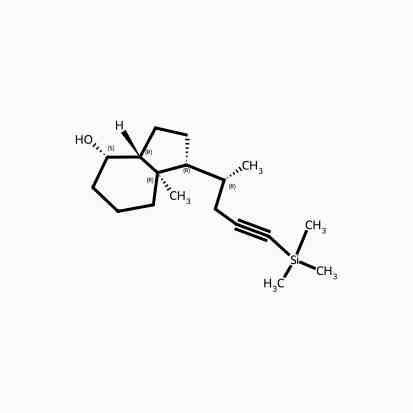 C[C@H](CC#C[Si](C)(C)C)[C@H]1CC[C@H]2[C@@H](O)CCC[C@]12C